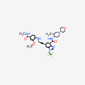 CNC(=O)c1ccc(NCC#Cc2cc(C(=O)N[C@H]3CCN(C4CCOCC4)C[C@@H]3C)c3ncn(CC(F)(F)F)c3c2)c(OC)c1